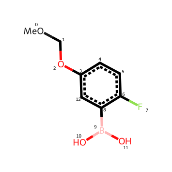 COCOc1ccc(F)c(B(O)O)c1